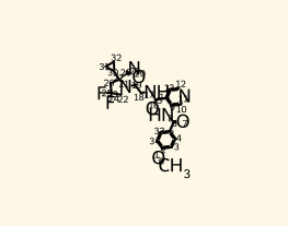 COc1ccc(C(=O)Nc2cnccc2C(=O)NCC(=O)N2CC(F)(F)C[C@]2(C#N)C2CC2)cc1